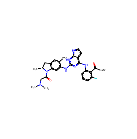 CNC(=O)c1c(F)cccc1Nc1nc(Nc2cc3c(cc2OC)C[C@H](C)N3C(=O)CN(C)C)[nH]c2nccc1-2